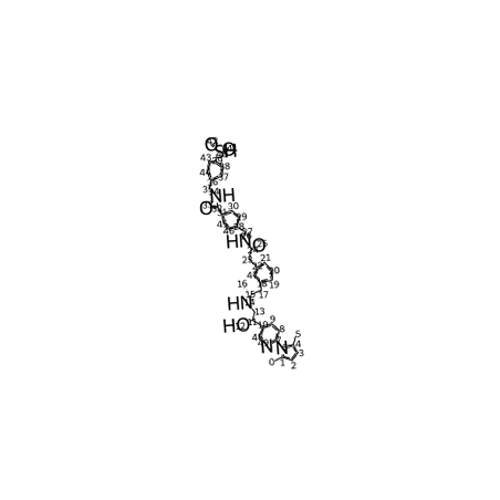 Cc1ccc(C)n1-c1ccc([C@@H](O)CN[C@H](C)Cc2cccc(CC(=O)NCc3ccc(C(=O)NCc4ccc([SH](=O)=O)cc4)cc3)c2)cn1